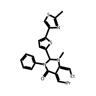 CC/C=C1\C(=C/C(C)C)C(=O)N(c2ccccc2)C(c2ccc(-c3csc(C)n3)s2)N1C